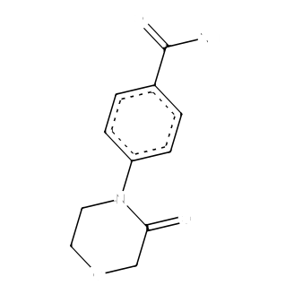 [NH]C(=O)c1ccc(N2CCOCC2=O)cc1